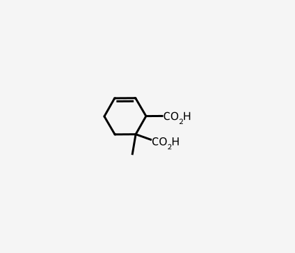 CC1(C(=O)O)CCC=CC1C(=O)O